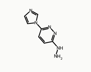 NNc1ccc(-n2ccnc2)nn1